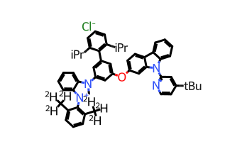 [2H]C([2H])([2H])c1cccc(C([2H])([2H])[2H])c1-[n+]1cn(-c2cc(Oc3ccc4c5ccccc5n(-c5cc(C(C)(C)C)ccn5)c4c3)cc(-c3c(C(C)C)cccc3C(C)C)c2)c2ccccc21.[Cl-]